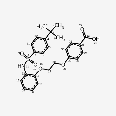 CC(C)(C)c1ccc(S(=O)(=O)Nc2ccccc2OCCOc2ccc(C(=O)O)cc2)cc1